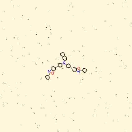 c1ccc(-c2nc3ccc(-c4ccc(N(c5ccc(-c6ccc7nc(-c8ccccc8)oc7c6)cc5)c5ccc6ccccc6c5)cc4)cc3o2)cc1